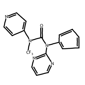 O=C(N(c1ccccc1)c1ncccn1)N(c1ccncc1)C(F)(F)F